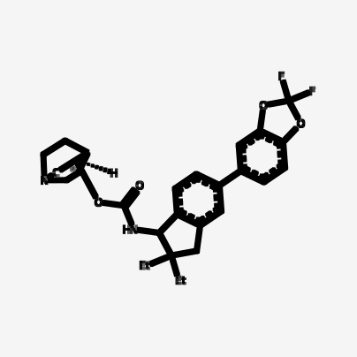 CCC1(CC)Cc2cc(-c3ccc4c(c3)OC(F)(F)O4)ccc2C1NC(=O)O[C@H]1CN2CCC1CC2